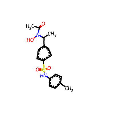 CC(=O)N(O)C(C)c1ccc(S(=O)(=O)Nc2ccc(C)cc2)cc1